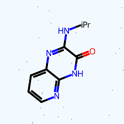 CC(C)Nc1nc2cccnc2[nH]c1=O